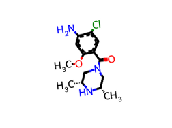 COc1cc(N)c(Cl)cc1C(=O)N1C[C@@H](C)N[C@@H](C)C1